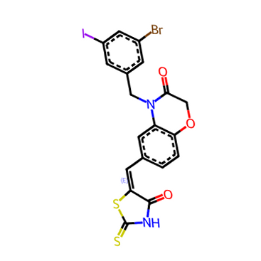 O=C1NC(=S)S/C1=C/c1ccc2c(c1)N(Cc1cc(Br)cc(I)c1)C(=O)CO2